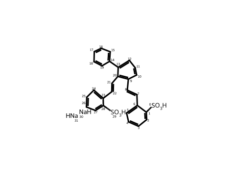 O=S(=O)(O)c1ccccc1C=Cc1cccc(-c2ccccc2)c1C=Cc1ccccc1S(=O)(=O)O.[NaH].[NaH]